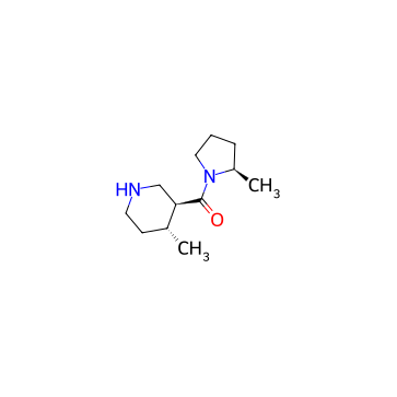 C[C@@H]1CCNC[C@H]1C(=O)N1CCC[C@H]1C